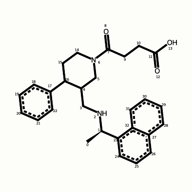 C[C@@H](NCC1CN(C(=O)CCC(=O)O)CCC1c1ccccc1)c1cccc2ccccc12